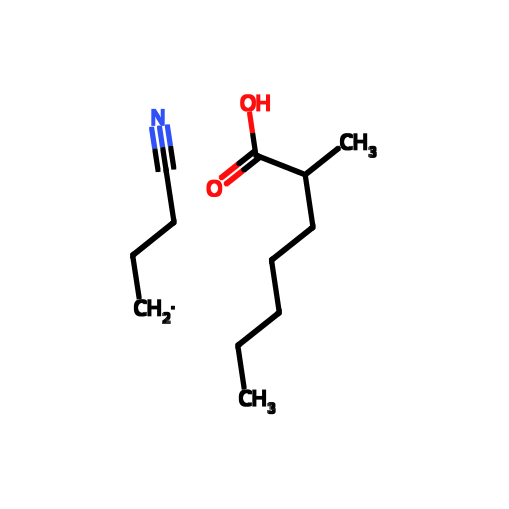 CCCCCC(C)C(=O)O.[CH2]CCC#N